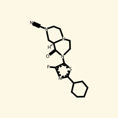 N#CN1CCN2CCN(c3sc(C4CCCCC4)nc3F)C(=O)[C@H]2C1